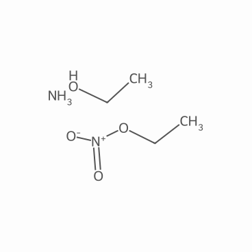 CCO.CCO[N+](=O)[O-].N